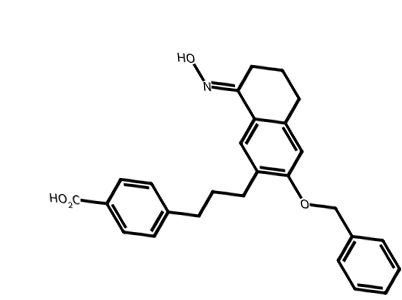 O=C(O)c1ccc(CCCc2cc3c(cc2OCc2ccccc2)CCCC3=NO)cc1